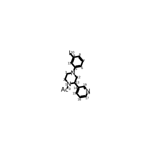 CC(=O)N1CCN(c2cccc(I)c2)CC1c1cccnc1